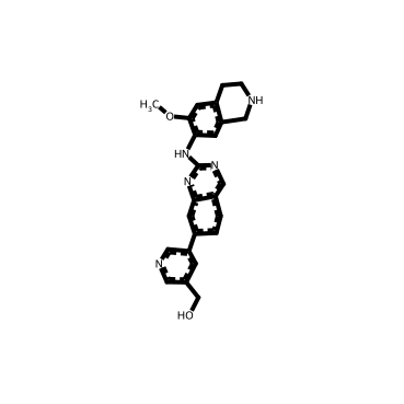 COc1cc2c(cc1Nc1ncc3ccc(-c4cncc(CO)c4)cc3n1)CNCC2